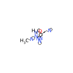 CCCN1CCC(Nc2nc(N3CCCCC3)nc3cc(C#CCCN4CCCC4)c(OC)cc23)CC1